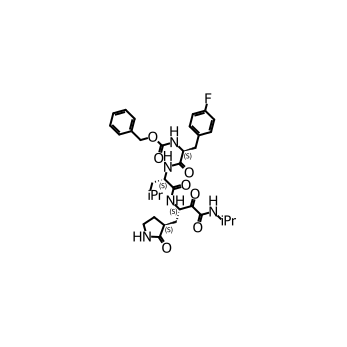 CC(C)C[C@H](NC(=O)[C@H](Cc1ccc(F)cc1)NC(=O)OCc1ccccc1)C(=O)N[C@@H](C[C@@H]1CCNC1=O)C(=O)C(=O)NC(C)C